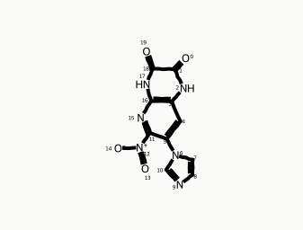 O=c1[nH]c2cc(-n3ccnc3)c([N+](=O)[O-])nc2[nH]c1=O